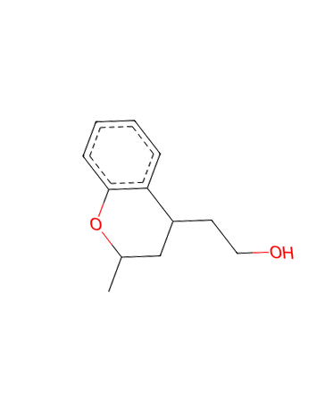 CC1CC(CCO)c2ccccc2O1